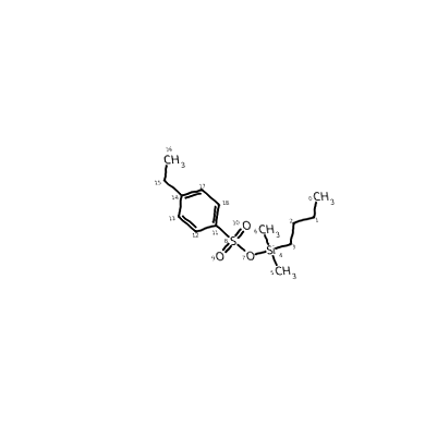 CCCC[Si](C)(C)OS(=O)(=O)c1ccc(CC)cc1